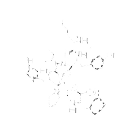 CCCC[C@H](N)C(=O)N[C@@H](Cc1ccc(O)cc1)C(=O)N[C@H](C(=O)N[C@@H](Cc1c[nH]cn1)C(=O)N1CCC[C@H]1C(=O)N[C@@H](Cc1ccccc1)C(=O)O)[C@@H](C)CC